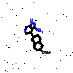 COc1ccc2cc(-c3cncc4[nH]nc(N)c34)ccc2c1